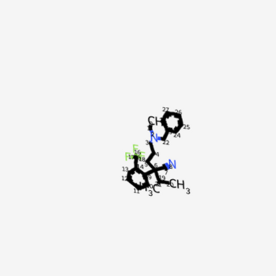 CCN(CCCC(C#N)(c1ccccc1C(F)(F)F)C(C)C)Cc1ccccc1